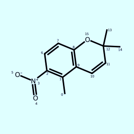 Cc1c([N+](=O)[O-])ccc2c1C=CC(C)(C)O2